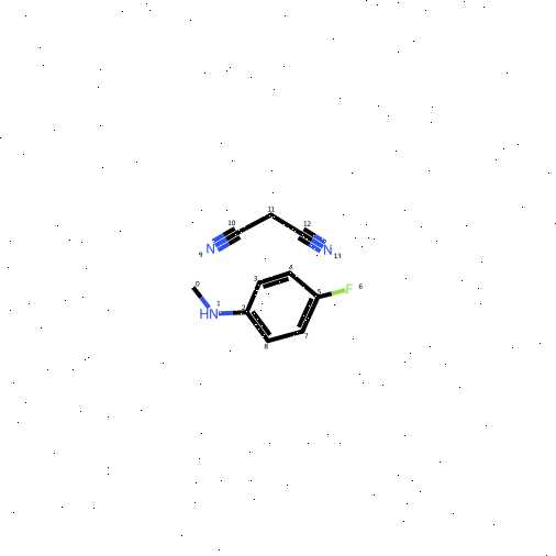 CNc1ccc(F)cc1.N#CCC#N